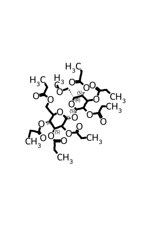 CCC(=O)OCC1O[C@H](O[C@@H]2O[C@H](COC)[C@H](OC(=O)CC)C(OC(=O)CC)C2OC(=O)CC)C(OC(=O)CC)[C@@H](OC(=O)CC)[C@@H]1OC(=O)CC